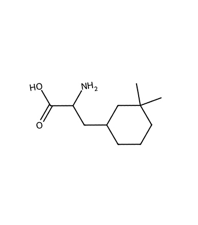 CC1(C)CCCC(CC(N)C(=O)O)C1